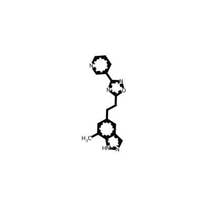 Cc1cc(C[CH]c2nc(-c3cccnc3)no2)cc2cn[nH]c12